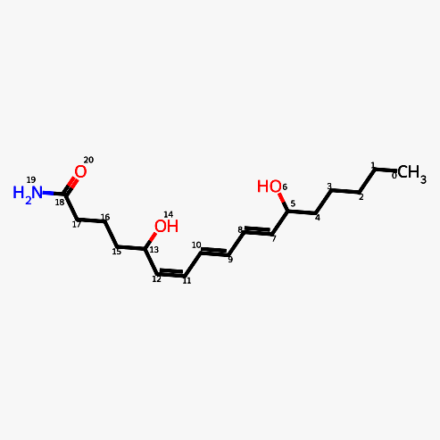 CCCCCC(O)/C=C/C=C/C=C\C(O)CCCC(N)=O